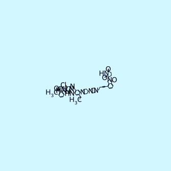 CCc1cc(Nc2ncc(Cl)c(Nc3ccccc3P(C)(C)=O)n2)c(C#N)cc1N1CCC(N2CCN(CCC#Cc3cccc4c3CN(C3CCC(=O)NC3=O)C4=O)CC2)CC1